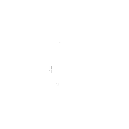 CCCC(c1ncc[nH]1)c1cc(Br)cs1